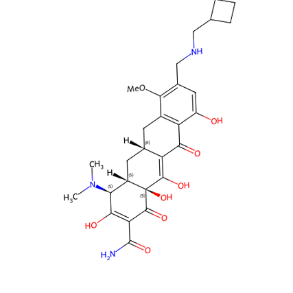 COc1c(CNCC2CCC2)cc(O)c2c1C[C@H]1C[C@H]3[C@H](N(C)C)C(O)=C(C(N)=O)C(=O)[C@@]3(O)C(O)=C1C2=O